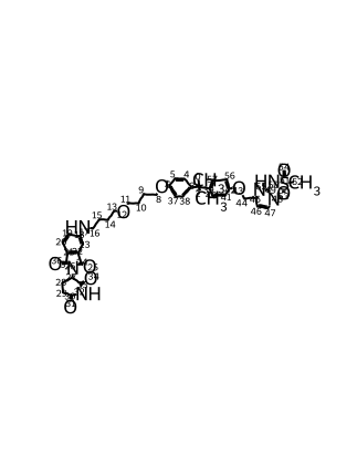 CC(C)(c1ccc(OCCCCOCCCCNc2ccc3c(c2)C(=O)N(C2CCC(=O)NC2=O)C3=O)cc1)c1ccc(OCc2ccnc(NS(C)(=O)=O)n2)cc1